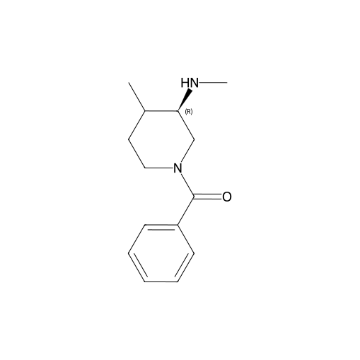 CN[C@H]1CN(C(=O)c2ccccc2)CCC1C